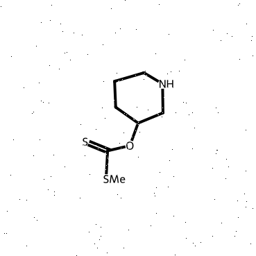 CSC(=S)OC1CCCNC1